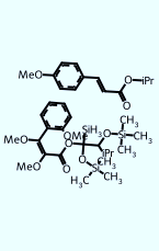 COC(C(=O)OC([SiH3])(O[Si](C)(C)C)C(O[Si](C)(C)C)C(C)C)=C(OC)c1ccccc1OC.COc1ccc(C=CC(=O)OC(C)C)cc1